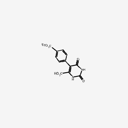 CCOC(=O)c1ccc(-c2c(C(=O)O)[nH]c(=O)[nH]c2=O)cc1